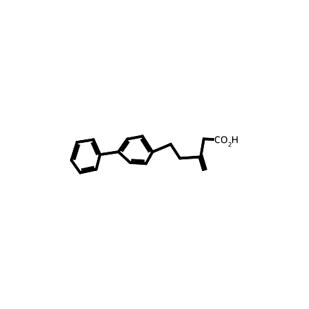 C=C(CCc1ccc(-c2ccccc2)cc1)CC(=O)O